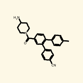 Cc1ccc(-c2ccc(C(=O)N3CCC(N)CC3)cc2-c2ccc(C#N)cc2)cc1